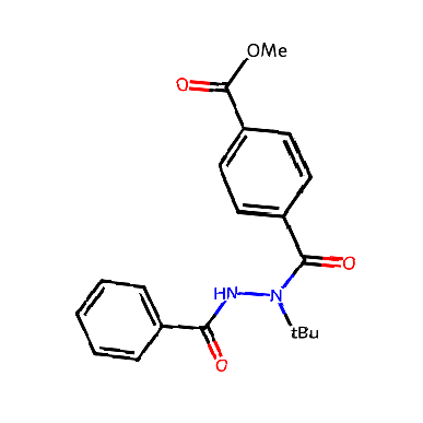 COC(=O)c1ccc(C(=O)N(NC(=O)c2ccccc2)C(C)(C)C)cc1